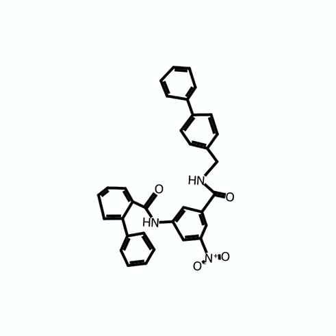 O=C(NCc1ccc(-c2ccccc2)cc1)c1cc(NC(=O)c2ccccc2-c2ccccc2)cc([N+](=O)[O-])c1